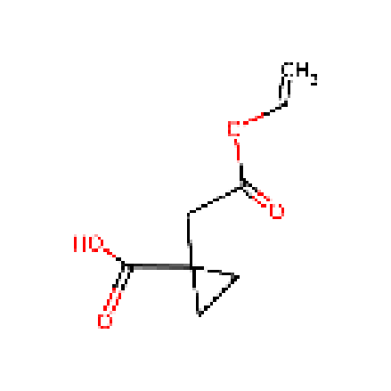 C=COC(=O)CC1(C(=O)O)CC1